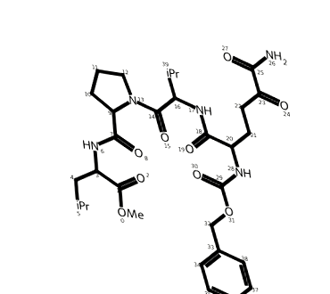 COC(=O)C(CC(C)C)NC(=O)C1CCCN1C(=O)C(NC(=O)C(CCC(=O)C(N)=O)NC(=O)OCc1ccccc1)C(C)C